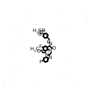 COCCCn1c(CN2C(=O)/C(=N/OCc3ccc(S(C)(=O)=O)cc3)c3cc(F)ccc32)nc2ccc(F)cc21